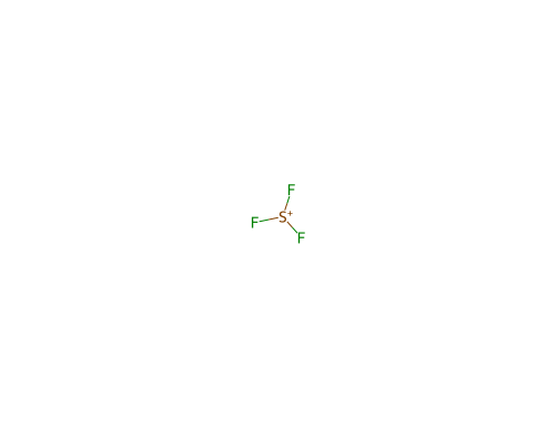 F[S+](F)F